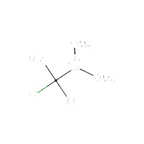 CCC(C)(Cl)[SiH](OC)OC